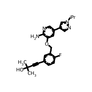 CC(C)n1cc(-c2cnc(N)c(OCc3cc(C#CC(C)(C)O)ccc3F)c2)cn1